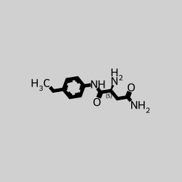 CCc1ccc(NC(=O)[C@@H](N)CC(N)=O)cc1